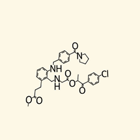 COC(=O)CCc1cccc(NCc2ccc(C(=O)N3CCCC3)cc2)c1CNCC(=O)OC(C)C(=O)c1ccc(Cl)cc1